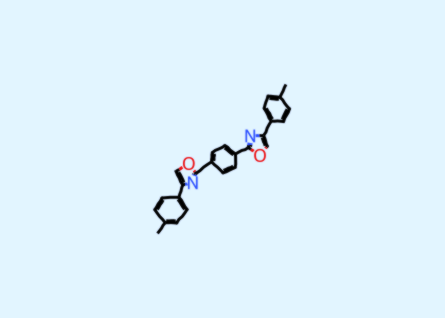 Cc1ccc(-c2coc(-c3ccc(-c4nc(-c5ccc(C)cc5)co4)cc3)n2)cc1